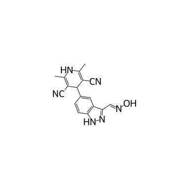 CC1=C(C#N)C(c2ccc3[nH]nc(C=NO)c3c2)C(C#N)=C(C)N1